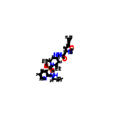 CCC1CC(NC(=O)c2cc(C3CC3)on2)CC(CC)N1S(=O)(=O)c1cccnc1NCC(C)C